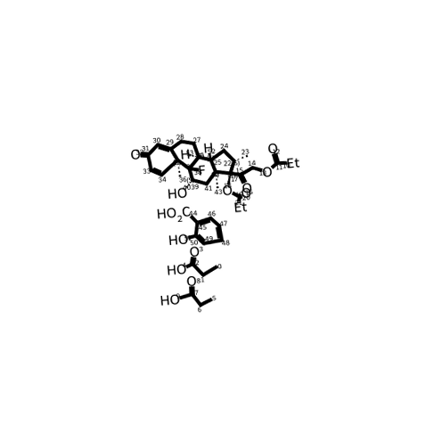 CCC(=O)O.CCC(=O)O.CCC(=O)OCC(=O)[C@@]1(OC(=O)CC)[C@@H](C)C[C@H]2[C@@H]3CCC4=CC(=O)C=C[C@]4(C)C3(F)[C@@H](O)C[C@@]21C.O=C(O)c1ccccc1O